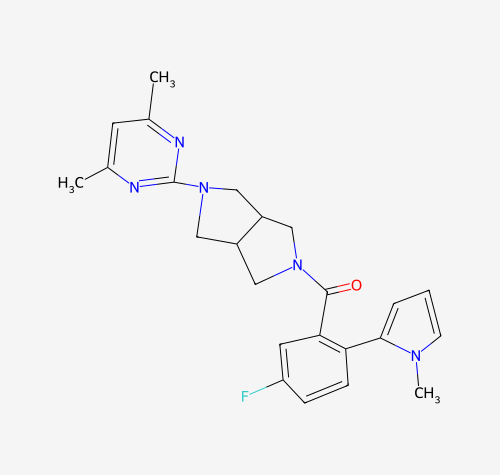 Cc1cc(C)nc(N2CC3CN(C(=O)c4cc(F)ccc4-c4cccn4C)CC3C2)n1